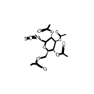 CC(=O)OC[C@H]1OC(N=C=S)[C@H](OC(C)=O)[C@@H](OC(C)=O)[C@@H]1OC(C)=O